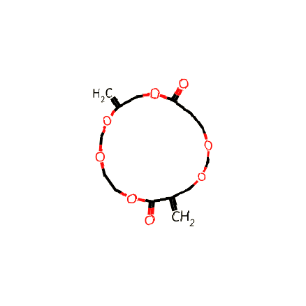 C=C1COC(=O)CCOCOCC(=C)C(=O)OCCOCO1